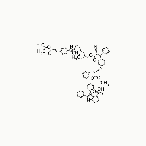 CCCCC(CC)COC(=O)C(C#N)=C(c1ccccc1)c1ccccc1.CCOC(=O)C(C#N)=Cc1ccccc1.COc1ccc(C=CC(=O)OC(C)C)cc1.O=S(=O)(O)c1cccc2nc(-c3ccccc3)n(-c3ccccc3)c12